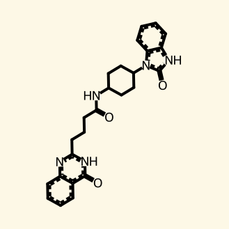 O=C(CCCc1nc2ccccc2c(=O)[nH]1)NC1CCC(n2c(=O)[nH]c3ccccc32)CC1